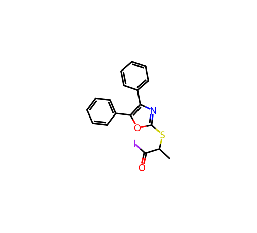 CC(Sc1nc(-c2ccccc2)c(-c2ccccc2)o1)C(=O)I